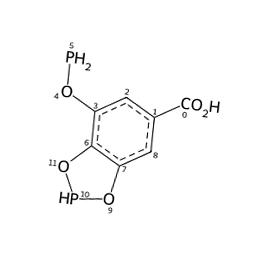 O=C(O)c1cc(OP)c2c(c1)OPO2